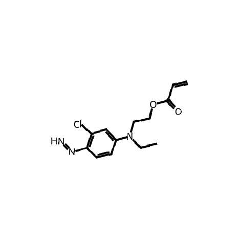 C=CC(=O)OCCN(CC)c1ccc(N=N)c(Cl)c1